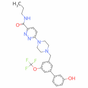 CCCNC(=O)c1ccc(N2CCN(Cc3cc(OC(F)(F)F)cc(-c4cccc(O)c4)c3)CC2)nn1